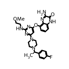 COCCNc1nc(Oc2cccc3[nH]c(=O)c(N)nc23)cc(N2CCN([C@H](C)c3ccc(F)cc3)CC2)n1